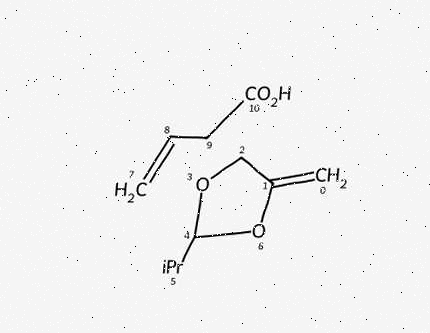 C=C1COC(C(C)C)O1.C=CCC(=O)O